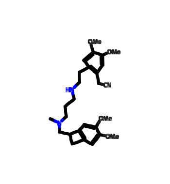 COc1cc(CC#N)c(CCNCCCN(C)CC2Cc3cc(OC)c(OC)cc32)cc1OC